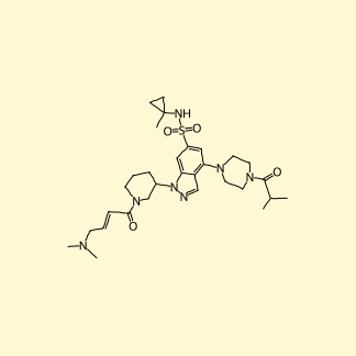 CC(C)C(=O)N1CCN(c2cc(S(=O)(=O)NC3(C)CC3)cc3c2cnn3C2CCCN(C(=O)/C=C/CN(C)C)C2)CC1